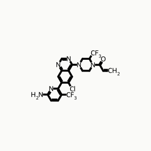 C=CC(=O)N1CCN(c2ncnc3cc(-c4nc(N)ccc4C(F)(F)F)c(Cl)cc23)CC1C(F)(F)F